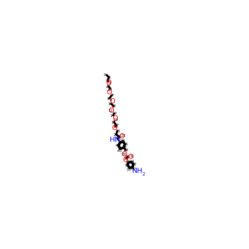 CCCOCCOCCOCCOCCOCCOCCC(=O)Nc1ccc(COC(=O)Oc2ccc(N)cc2)cc1